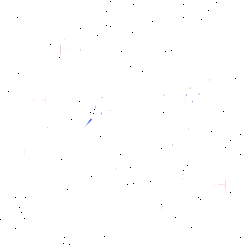 N[C@@H](Cc1ccc(O)cc1)C(=O)O.O=[N+]([O-])c1ccc(O)cc1